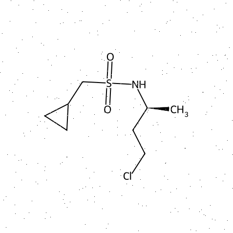 C[C@@H](CCCl)NS(=O)(=O)CC1CC1